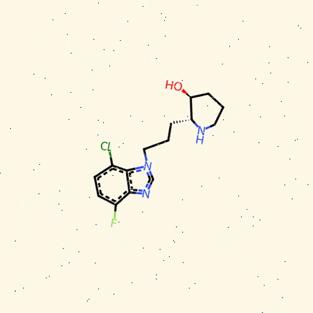 O[C@H]1CCCN[C@@H]1CCCn1cnc2c(F)ccc(Cl)c21